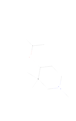 CC(C)OC1CCN(C)CC1(C)C